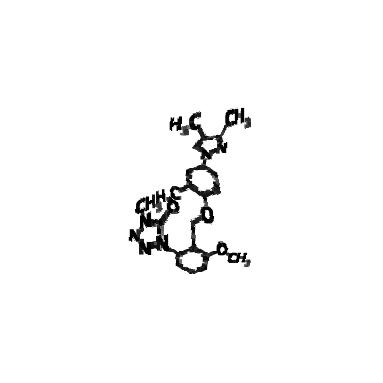 COc1cccc(-n2nnn(C)c2=O)c1COc1ccc(-n2cc(C)c(C)n2)cc1C